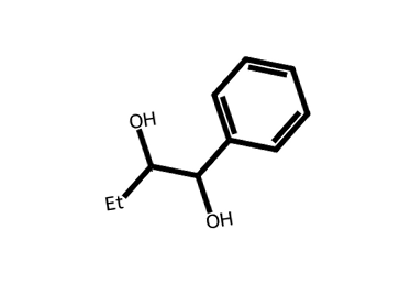 CC[C](O)C(O)c1ccccc1